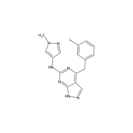 Cn1cc(Nc2nc(Cc3cccc(I)c3)c3cn[nH]c3n2)cn1